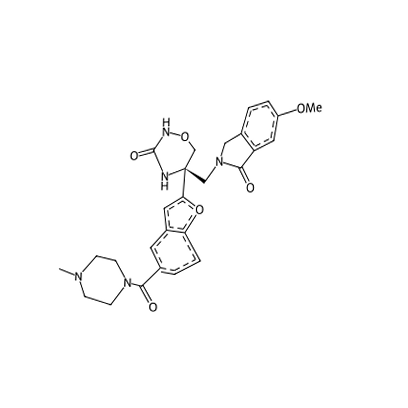 COc1ccc2c(c1)C(=O)N(C[C@]1(c3cc4cc(C(=O)N5CCN(C)CC5)ccc4o3)CONC(=O)N1)C2